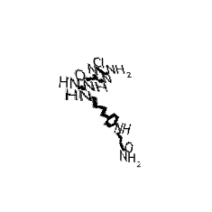 N=C(NCCCCc1ccc(NCCCC(N)=O)cc1)NC(=O)c1cnc(N)c(Cl)n1